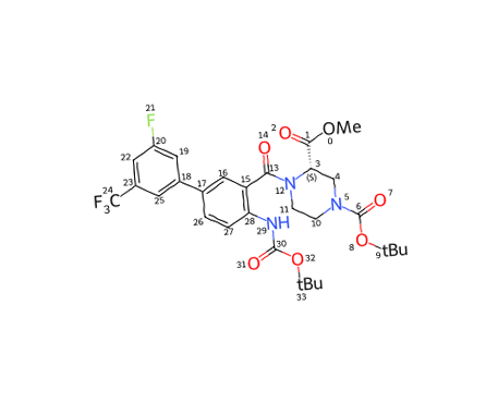 COC(=O)[C@@H]1CN(C(=O)OC(C)(C)C)CCN1C(=O)c1cc(-c2cc(F)cc(C(F)(F)F)c2)ccc1NC(=O)OC(C)(C)C